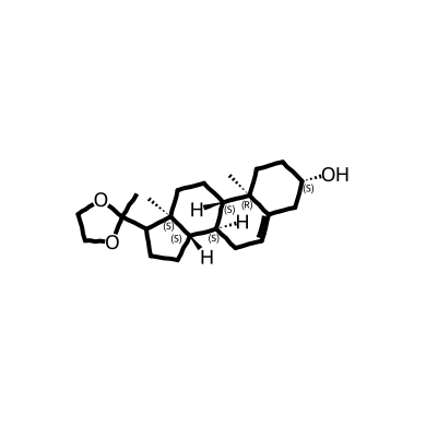 CC1(C2CC[C@H]3[C@@H]4CC=C5C[C@@H](O)CC[C@]5(C)[C@H]4CC[C@]23C)OCCO1